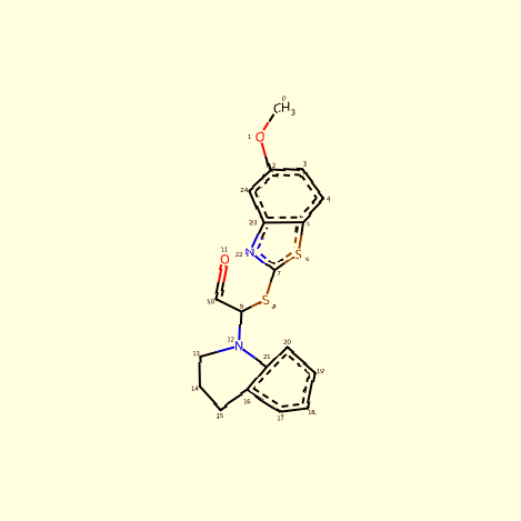 COc1ccc2sc(SC(C=O)N3CCCc4ccccc43)nc2c1